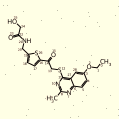 CCOc1ccc2nc(C)nc(SCC(=O)c3ccc(CNC(=O)CO)s3)c2c1